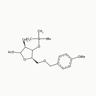 COc1ccc(COC[C@H]2OC(OC(C)=O)[C@@H](C)C2O[Si](C)(C)C(C)(C)C)cc1